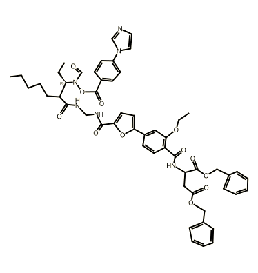 CCCCCC(C(=O)NCNC(=O)c1ccc(-c2ccc(C(=O)NC(CC(=O)OCc3ccccc3)C(=O)OCc3ccccc3)c(OCC)c2)o1)[C@@H](CC)N(C=O)OC(=O)c1ccc(-n2ccnc2)cc1